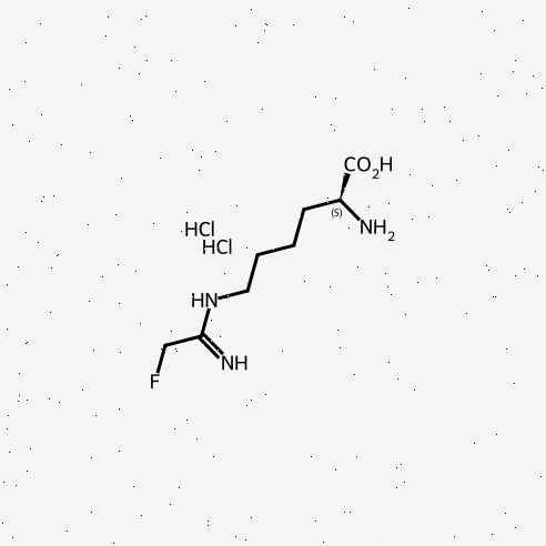 Cl.Cl.N=C(CF)NCCCC[C@H](N)C(=O)O